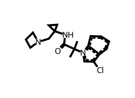 CC(C)(C(=O)NC1(CN2CCC2)CC1)n1cc(Cl)c2ccccc21